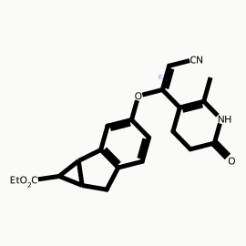 CCOC(=O)C1C2Cc3ccc(O/C(=C/C#N)C4=C(C)NC(=O)CC4)cc3C21